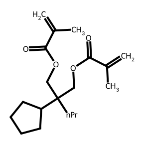 C=C(C)C(=O)OCC(CCC)(COC(=O)C(=C)C)C1CCCC1